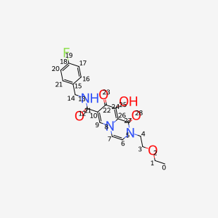 CCOCCn1ccn2cc(C(=O)NCc3ccc(F)cc3)c(=O)c(O)c2c1=O